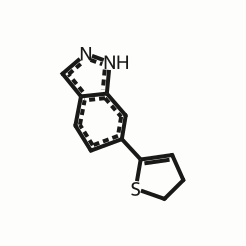 C1=C(c2ccc3cn[nH]c3c2)SCC1